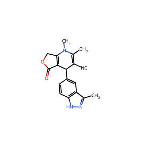 [C-]#[N+]C1=C(C)N(C)C2=C(C(=O)OC2)C1c1ccc2[nH]nc(C)c2c1